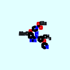 COc1cc2ncnc(Nc3ccc(Oc4cccnc4)c(C)c3)c2cc1OC1CCN(C(=O)OC(C)(C)C)CC1